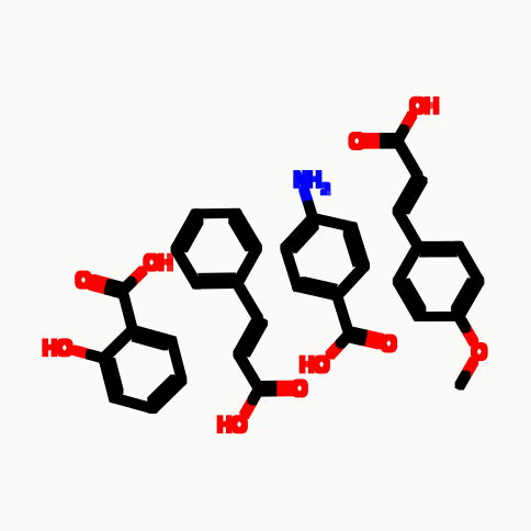 COc1ccc(C=CC(=O)O)cc1.Nc1ccc(C(=O)O)cc1.O=C(O)C=Cc1ccccc1.O=C(O)c1ccccc1O